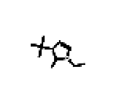 CCN1C=CN(C(C)(C)C)C1Cl